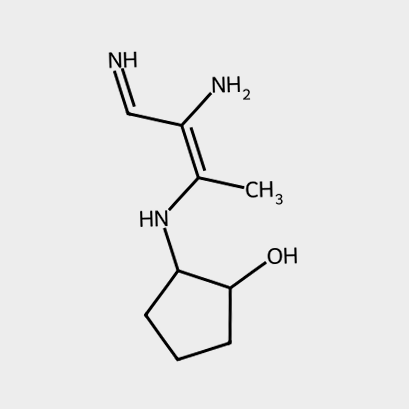 C/C(NC1CCCC1O)=C(\N)C=N